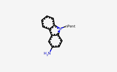 CCCCCn1c2ccccc2c2cc(N)ccc21